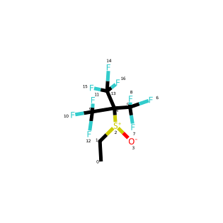 CC[S+]([O-])C(C(F)(F)F)(C(F)(F)F)C(F)(F)F